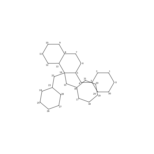 C1CCC(CC2CCC3CCCCC3C2(CC2CCCCC2)CC2CCCCC2)CC1